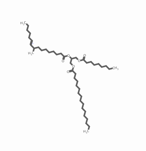 CCCCC/C=C/C(C)CCCCCCCC(=O)OC(COC(=O)CCCCCCCC)COC(=O)CCCCCCCCCCCCCCCC